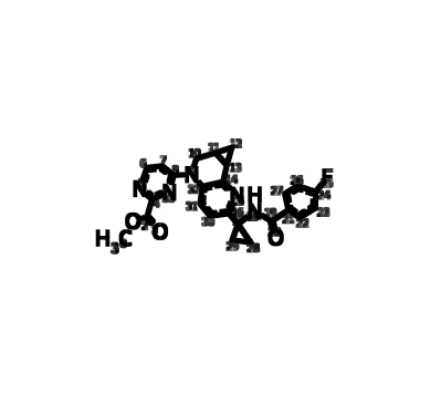 COC(=O)c1nccc(N2CC3CC3c3nc(C4(NC(=O)c5ccc(F)cc5)CC4)ccc32)n1